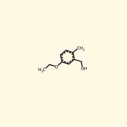 CCOc1ccc(C)c([CH]O)c1